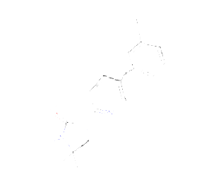 Cc1cccc(-c2ccc(N3CC(C)(C)N(C)C3=O)nc2)c1